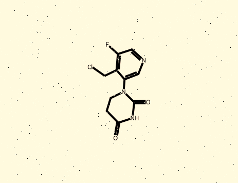 O=C1CCN(c2cncc(F)c2CCl)C(=O)N1